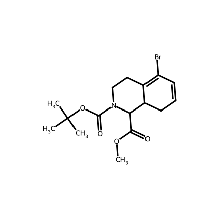 COC(=O)C1C2CC=CC(Br)=C2CCN1C(=O)OC(C)(C)C